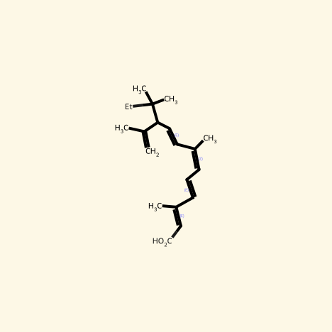 C=C(C)C(/C=C/C(C)=C\C=C\C(C)=C\C(=O)O)C(C)(C)CC